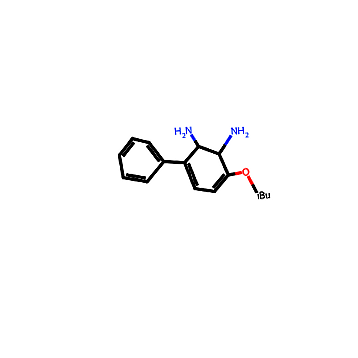 CCC(C)OC1=CC=C(c2ccccc2)C(N)C1N